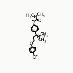 CN(C)C(=O)Oc1ccc(C(CCOc2ccc(C(F)(F)F)cc2)N(C)C)cc1.Cl